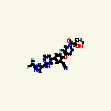 C[C@H](O)C(=O)N1CC[C@H](Oc2ccc(-c3ncnc(Nc4cnn(C(F)F)c4)n3)cc2C#N)[C@H](F)C1